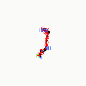 CC1(C)CN(Cc2ccc(NCCOCCOCCOCCOCCOc3cccc4c3C(=O)N(C3CCC(=O)NC3=O)C4=O)cc2F)C(=O)C1Oc1ccc(C#N)c(C(F)(F)F)c1